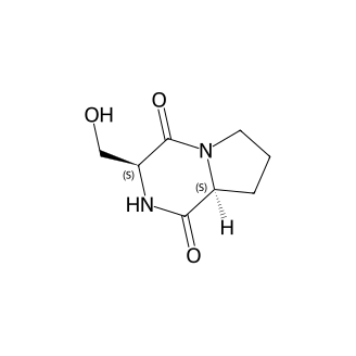 O=C1N[C@@H](CO)C(=O)N2CCC[C@@H]12